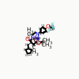 C[C@@H](CNc1ccc(OC(F)(F)F)cc1)NC(=O)[C@H](CC1CCCC1)[C@@H](C)C(=O)OC(C)(C)C